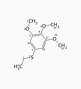 CCSc1cc(OC)c(OC)c(OC)c1